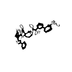 CC(C)(C)c1cccc(-c2cccc(C(O)C(=O)N3CCCc4nc(C5(c6cc(-c7ccccc7)cs6)CC5)[nH]c(=O)c4C3)c2)c1